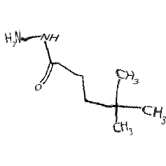 CC(C)(C)CCC(=O)NN